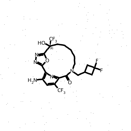 Nc1cc(C(F)(F)F)c2nc1-c1nnc(o1)[C@@](O)(C(F)(F)F)CCCCCN(CC1CC(F)(F)C1)C2=O